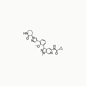 COc1c(-c2cnn([C@@H]3CCCNC3=O)c2)cccc1-c1nn(C)c2cnc(NC(=O)C3CC3)cc12